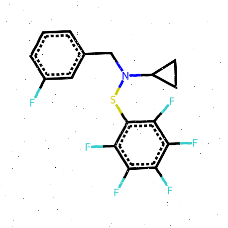 Fc1cccc(CN(Sc2c(F)c(F)c(F)c(F)c2F)C2CC2)c1